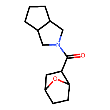 O=C(C1CC2CCC1O2)N1CC2CCCC2C1